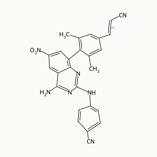 Cc1cc(/C=C/C#N)cc(C)c1-c1cc([N+](=O)[O-])cc2c(N)nc(Nc3ccc(C#N)cc3)nc12